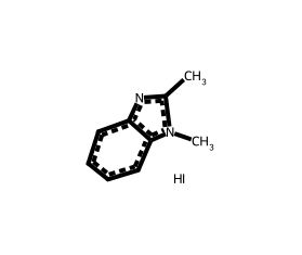 Cc1nc2ccccc2n1C.I